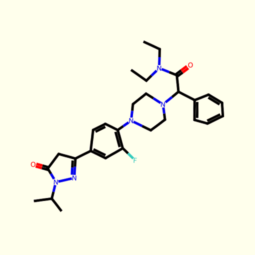 CCN(CC)C(=O)C(c1ccccc1)N1CCN(c2ccc(C3=NN(C(C)C)C(=O)C3)cc2F)CC1